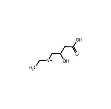 CCNCC(O)CC(=O)O